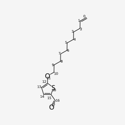 C=CCCCCCCCCCOc1ccc(C=O)s1